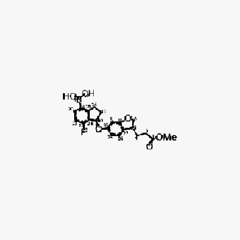 COC(=O)CC[C@@H]1COc2cc(O[C@@H]3CCc4c(B(O)O)ccc(F)c43)ccc21